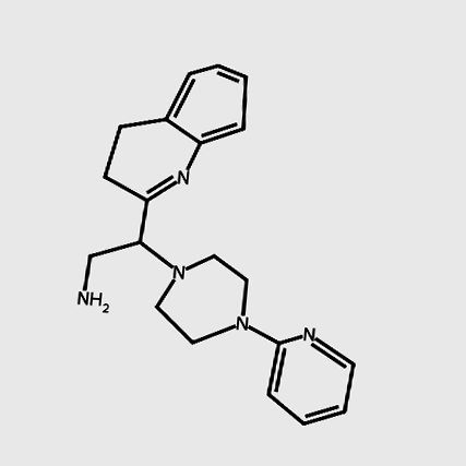 NCC(C1=Nc2ccccc2CC1)N1CCN(c2ccccn2)CC1